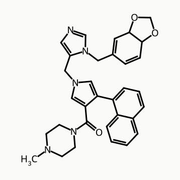 CN1CCN(C(=O)c2cn(Cc3cncn3CC3=CC4OCOC4C=C3)cc2-c2cccc3ccccc23)CC1